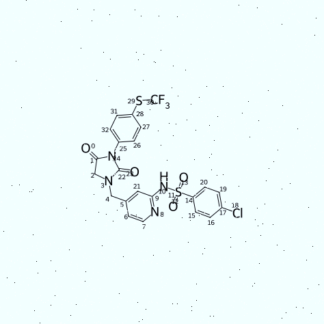 O=C1CN(Cc2ccnc(NS(=O)(=O)c3ccc(Cl)cc3)c2)C(=O)N1c1ccc(SC(F)(F)F)cc1